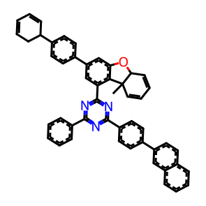 CC12C=CC=CC1Oc1cc(-c3ccc(C4C=CC=CC4)cc3)cc(-c3nc(-c4ccccc4)nc(-c4ccc(-c5ccc6ccccc6c5)cc4)n3)c12